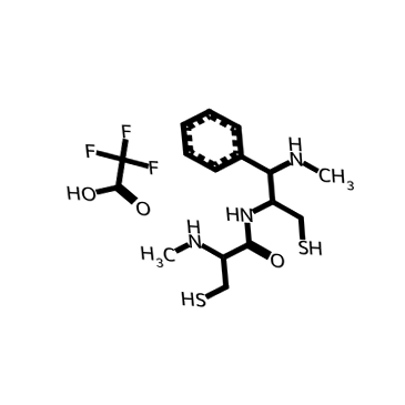 CNC(CS)C(=O)NC(CS)C(NC)c1ccccc1.O=C(O)C(F)(F)F